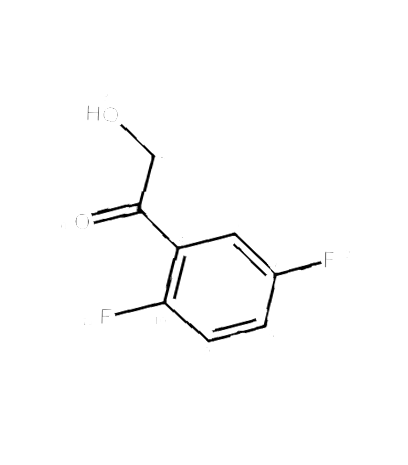 O=C(CO)c1cc(F)ccc1F